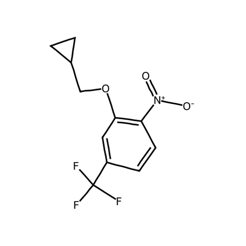 O=[N+]([O-])c1ccc(C(F)(F)F)cc1OCC1CC1